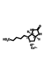 O=C(O)CCCC[C@@H]1SC[C@@H]2NC(=O)N[C@@H]21.[Cu+2].[O-2]